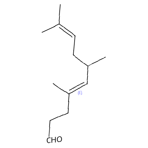 CC(C)=CCC(C)/C=C(\C)CCC=O